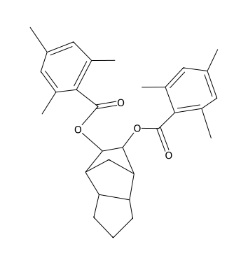 Cc1cc(C)c(C(=O)OC2C3CC(C4CCCC43)C2OC(=O)c2c(C)cc(C)cc2C)c(C)c1